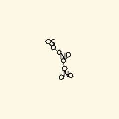 c1ccc(N(c2ccccc2)c2ccc(-c3ccc4c(c3)c3ccccc3n4-c3ccc(-c4ccc5c(c4)sc4ccccc45)cc3)cc2)cc1